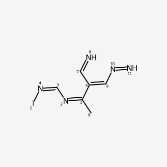 CC(=N/C=N\I)/C(C=N)=C/N=N